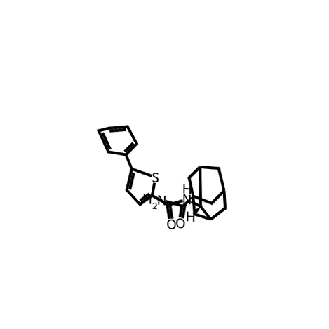 NC(=O)[C@]12CC3CC(C1)[C@@H](NC(=O)c1ccc(-c4ccccc4)s1)C(C3)C2